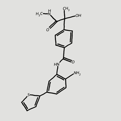 CNC(=O)C(C)(O)c1ccc(C(=O)Nc2cc(-c3cccs3)ccc2N)cc1